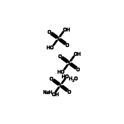 O.O=S(=O)(O)O.O=S(=O)(O)O.O=S(=O)(O)O.[NaH]